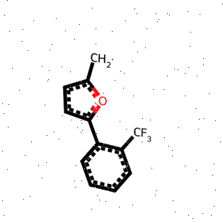 [CH2]c1ccc(-c2ccccc2C(F)(F)F)o1